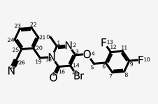 Cc1nc(OCc2ccc(F)cc2F)c(Br)c(=O)n1Cc1ccccc1C#N